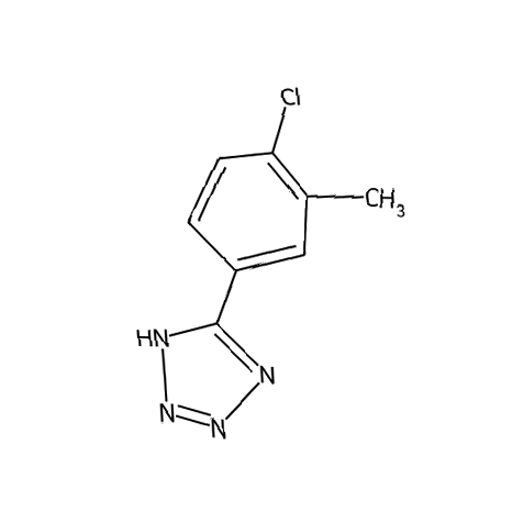 Cc1cc(-c2nnn[nH]2)ccc1Cl